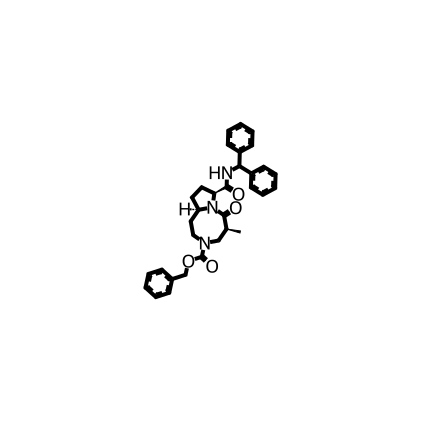 C[C@H]1CN(C(=O)OCc2ccccc2)CC[C@H]2CC[C@@H](C(=O)NC(c3ccccc3)c3ccccc3)N2C1=O